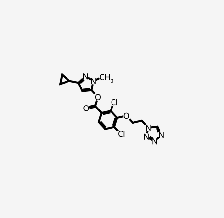 Cn1nc(C2CC2)cc1OC(=O)c1ccc(Cl)c(OCCn2cnnn2)c1Cl